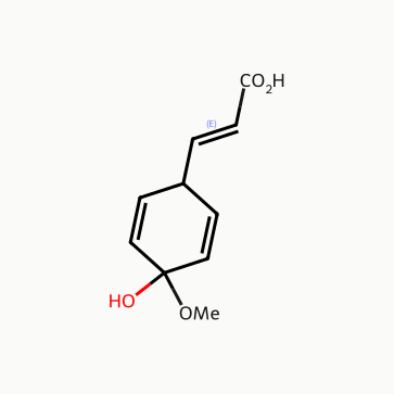 COC1(O)C=CC(/C=C/C(=O)O)C=C1